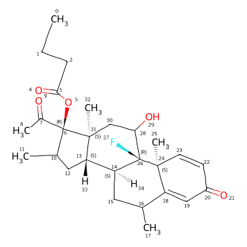 CCCC(=O)O[C@]1(C(C)=O)C(C)C[C@H]2[C@@H]3CC(C)C4=CC(=O)C=C[C@]4(C)[C@@]3(F)C(O)C[C@@]21C